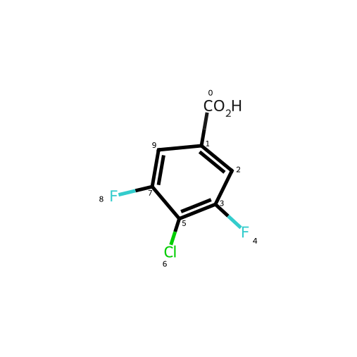 O=C(O)c1cc(F)c(Cl)c(F)c1